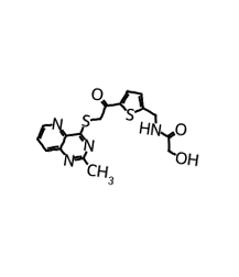 Cc1nc(SCC(=O)c2ccc(CNC(=O)CO)s2)c2ncccc2n1